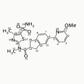 COc1cccc(-c2ccc3c(c2)CC(C(=O)N(C)c2nc(C)c(S(N)(=O)=O)s2)C3)n1